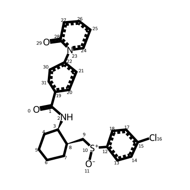 O=C(N[C@@H]1CCCC[C@@H]1C[S+]([O-])c1ccc(Cl)cc1)c1ccc(-n2ccccc2=O)cc1